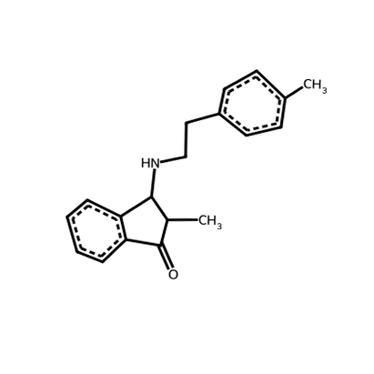 Cc1ccc(CCNC2c3ccccc3C(=O)C2C)cc1